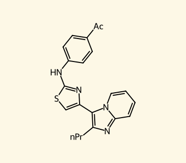 CCCc1nc2ccccn2c1-c1csc(Nc2ccc(C(C)=O)cc2)n1